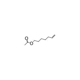 C=CCCCCCOC(C)=O